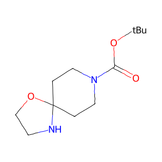 CC(C)(C)OC(=O)N1CCC2(CC1)NCCO2